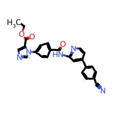 CCOC(=O)c1cn[c]n1-c1ccc(C(=O)Nc2cc(-c3ccc(C#N)cc3)ccn2)cc1